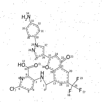 CC(Nc1ccc(Cl)nc1C(=O)O)c1cc(C(F)(F)F)cc2c(=O)cc(-c3cnn(-c4ccc(N)cc4)c3)oc12